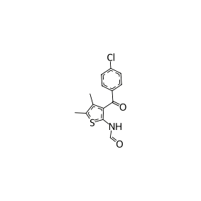 Cc1sc(NC=O)c(C(=O)c2ccc(Cl)cc2)c1C